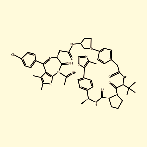 CC(=N)N1C(=N)[C@H](CC(=O)NC2CCN(c3ccc(CC(=O)N[C@H](C(=O)N4CCC[C@H]4C(=O)N[C@@H](C)c4ccc(-c5scnc5C)cc4)C(C)(C)C)cc3)C2)N=C(c2ccc(Cl)cc2)c2c1sc(C)c2C